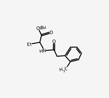 CCC(NC(=O)Cc1ccccc1C)C(=O)OCC(C)C